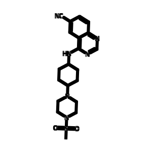 CS(=O)(=O)N1CCN(C2CCC(Nc3ncnc4ccc(C#N)cc34)CC2)CC1